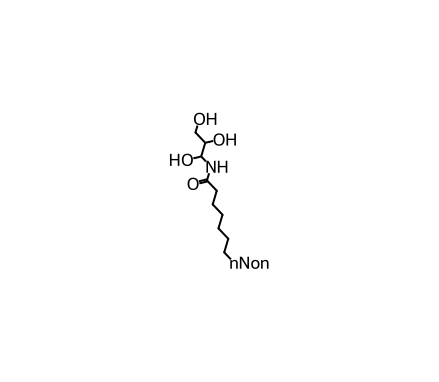 CCCCCCCCCCCCCCCC(=O)NC(O)C(O)CO